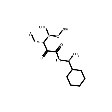 C[C@H](NC(=O)C(=O)[C@H](CC(F)(F)F)N(C=O)OC(C)(C)C)C1CCCCC1